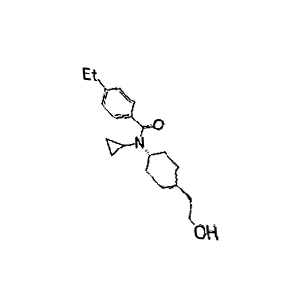 CCc1ccc(C(=O)N(C2CC2)[C@H]2CC[C@H](CCO)CC2)cc1